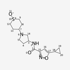 O=C(NC1CCN(C2CC[S+]([O-])CC2)C1)c1cc(C2CC2)on1